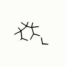 CCOC1OC(O)C(F)(F)C(F)(F)C1(F)F